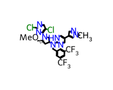 COC[C@@H]1CC(N(Cc2cc(C(F)(F)F)cc(C(F)(F)F)c2)C2N=CC(c3cnn(C)c3)=CN2)CN1c1nc(Cl)ncc1Cl